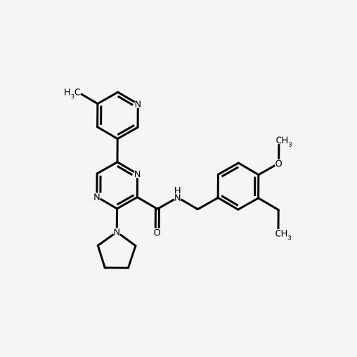 CCc1cc(CNC(=O)c2nc(-c3cncc(C)c3)cnc2N2CCCC2)ccc1OC